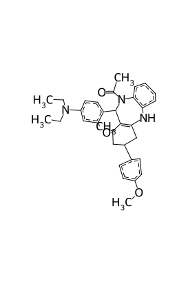 CCN(CC)c1ccc(C2C3=C(CC(c4ccc(OC)cc4)CC3=O)Nc3ccccc3N2C(C)=O)c(C)c1